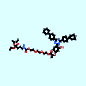 CCO[Si](CCCNC(=O)OCCOCCOCCOC(=O)C(C)Oc1ccc(-c2nc(-c3ccc(-c4ccccc4)cc3)nc(-c3ccc(-c4ccccc4)cc3)n2)c(O)c1)(OCC)OCC